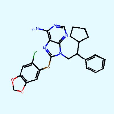 Nc1ncnc2c1nc(Sc1cc3c(cc1Br)OCO3)n2CC(c1ccccc1)C1CCCC1